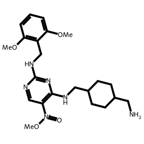 COc1cccc(OC)c1CNc1ncc([N+](=O)OC)c(NCC2CCC(CN)CC2)n1